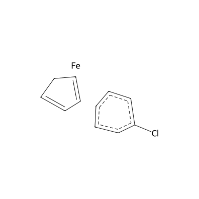 C1=CCC=C1.Clc1ccccc1.[Fe]